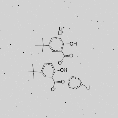 CC(C)(C)c1ccc(O)c(C(=O)[O-])c1.CC(C)(C)c1ccc(O)c(C(=O)[O-])c1.Clc1ccccc1.[Li+].[Li+]